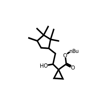 CCCCOC(=O)C1(C(O)CC2CC(C)C(C)(C)C2(C)C)CC1